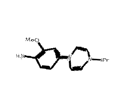 COc1cc(N2C=CN(C(C)C)C=C2)ccc1N